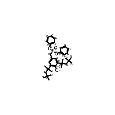 CC(C)(C)CC(C)(C)c1cc(CP(=O)(Oc2ccccc2)Oc2ccccc2)cc(C(C)(C)CC(C)(C)C)c1O